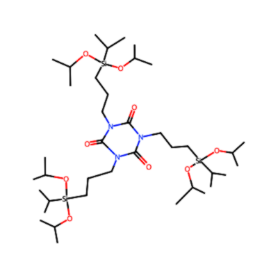 CC(C)O[Si](CCCn1c(=O)n(CCC[Si](OC(C)C)(OC(C)C)C(C)C)c(=O)n(CCC[Si](OC(C)C)(OC(C)C)C(C)C)c1=O)(OC(C)C)C(C)C